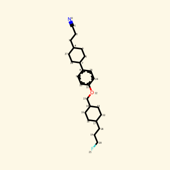 N#CCCC1CCC(c2ccc(OCC3CCC(CCCF)CC3)cc2)CC1